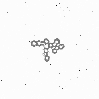 c1ccc2c(c1)-c1ccccc1C21c2ccccc2-c2ccc(-c3nc4c(nc3-n3c5ccccc5c5cc6ccccc6cc53)oc3ccccc34)cc21